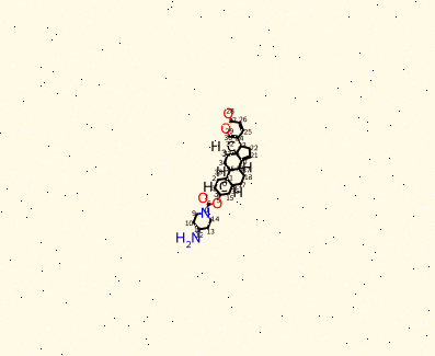 C[C@]12CC[C@H](OC(=O)N3CCC(N)CC3)C[C@H]1CC[C@H]1C3=CC[C@H](c4ccc(=O)oc4)[C@@]3(C)CC[C@@H]12